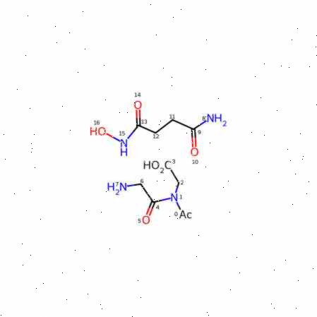 CC(=O)N(CC(=O)O)C(=O)CN.NC(=O)CCC(=O)NO